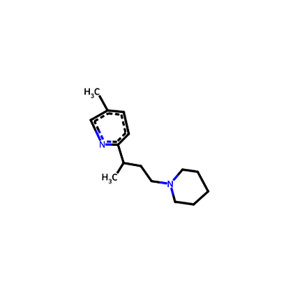 Cc1ccc(C(C)CCN2CCCCC2)nc1